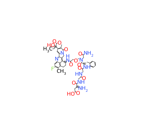 CC[C@@]1(O)C(=O)OCc2c1cc1n(c2=O)Cc2c-1nc1cc(F)c(C)c3c1c2[C@@H](NC(=O)COCN(CC(N)=O)C(=O)[C@H](Cc1ccccc1)NC(=O)CNC(=O)CNC(=O)[C@@H](N)CC(=O)O)CC3